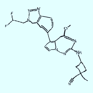 COc1nc(NC2CC(C)(C#N)C2)nn2ccc(-c3ccc4nnn(CC(F)F)c4c3)c12